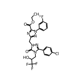 CCOC(=O)c1nc(Cn2nc(-c3ccc(Cl)cc3)n(CC(O)C(F)(F)F)c2=O)nn1-c1cccc(F)c1